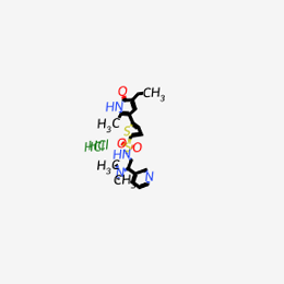 CCc1cc(-c2ccc(S(=O)(=O)NCC(c3cccnc3)N(C)C)s2)c(C)[nH]c1=O.Cl.Cl